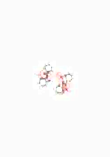 CC(=O)O[Si](OC(C)=O)(c1ccccc1)c1ccccc1.CCO[Si](OCC)(c1ccccc1)c1ccccc1